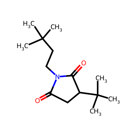 CC(C)(C)CCN1C(=O)CC(C(C)(C)C)C1=O